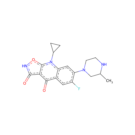 CC1CN(c2cc3c(cc2F)c(=O)c2c(=O)[nH]oc2n3C2CC2)CCN1